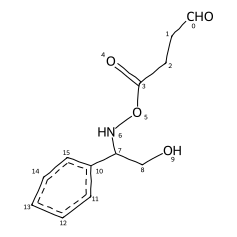 O=CCCC(=O)ONC(CO)c1ccccc1